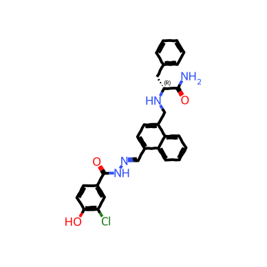 NC(=O)[C@@H](Cc1ccccc1)NCc1ccc(C=NNC(=O)c2ccc(O)c(Cl)c2)c2ccccc12